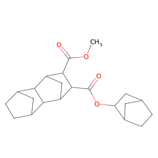 COC(=O)C1C2CC(C1C(=O)OC1CC3CCC1C3)C1C3CCC(C3)C21